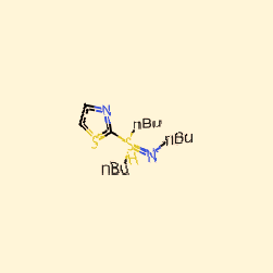 CCCCN=[SH](CCCC)(CCCC)c1nccs1